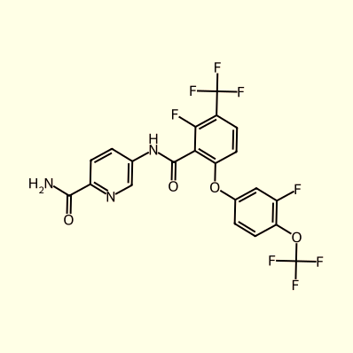 NC(=O)c1ccc(NC(=O)c2c(Oc3ccc(OC(F)(F)F)c(F)c3)ccc(C(F)(F)F)c2F)cn1